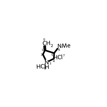 C=C1CNCC1NC.Cl.Cl